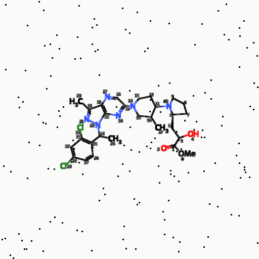 COC(=O)C(O)C[C@@H]1CCCN1C1CCN(c2cnc3c(C)nn(C(C)c4ccc(Cl)cc4Cl)c3n2)CC1C